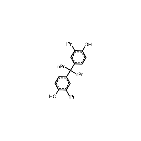 CCCC(CCC)(c1ccc(O)c(C(C)C)c1)c1ccc(O)c(C(C)C)c1